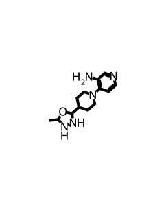 CC1NNC(C2CCN(c3ccncc3N)CC2)O1